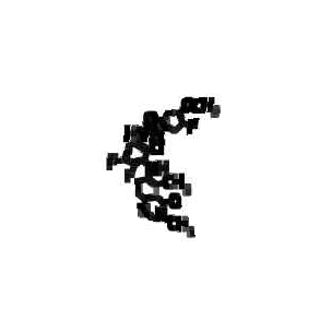 COC1CN(S(=O)(=O)Nc2cc(F)c(F)c(Nc3ccc4ncn(C)c(=O)c4c3C)c2Cl)CC1F